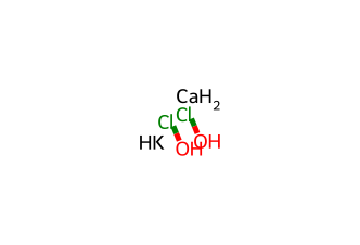 OCl.OCl.[CaH2].[KH]